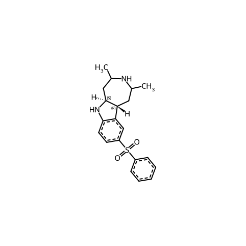 CC1C[C@@H]2Nc3ccc(S(=O)(=O)c4ccccc4)cc3[C@H]2CC(C)N1